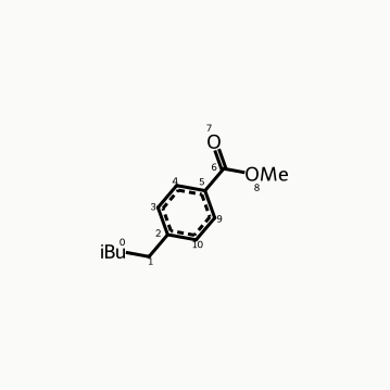 CCC(C)Cc1ccc(C(=O)OC)cc1